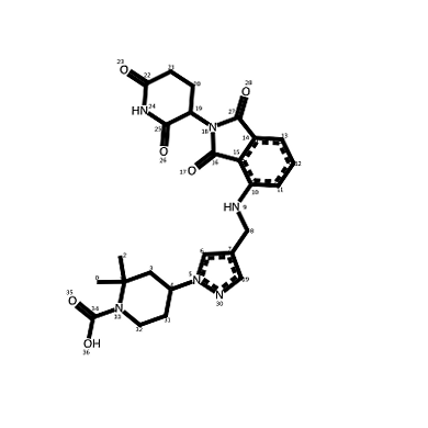 CC1(C)CC(n2cc(CNc3cccc4c3C(=O)N(C3CCC(=O)NC3=O)C4=O)cn2)CCN1C(=O)O